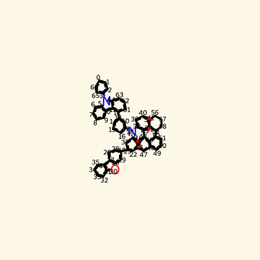 c1ccc(-n2c3ccccc3c3c(-c4cccc(N(c5cccc(-c6ccc7c(c6)oc6ccccc67)c5)c5ccccc5-c5cccc6cccc(C7CCCCC7)c56)c4)cccc32)cc1